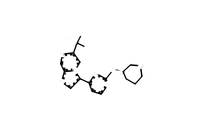 C[C@](O)(c1cn2c(-c3ccnc(N[C@@H]4CCCNC4)n3)cnc2cn1)C(F)(F)F